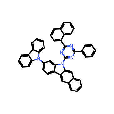 c1ccc(-c2nc(-c3cccc4ccccc34)nc(-n3c4cc(-n5c6ccccc6c6ccccc65)ccc4c4cc5ccccc5cc43)n2)cc1